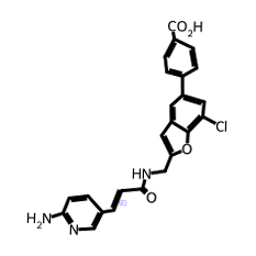 Nc1ccc(/C=C/C(=O)NCc2cc3cc(-c4ccc(C(=O)O)cc4)cc(Cl)c3o2)cn1